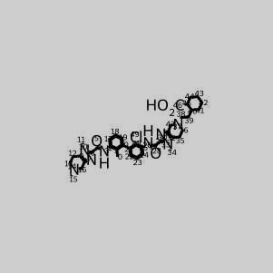 Cc1c(NC(=O)c2nc3c(n2C)CCN(C)C3)cccc1-c1cccc(NC(=O)c2nc3c(n2C)CCN(CCC2CCCCC2C(=O)O)C3)c1Cl